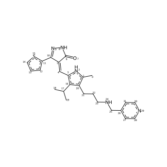 Cc1[nH]c(C=C2C(=O)NN=C2c2cccs2)c(C(C)C)c1CCCNCc1ccncc1